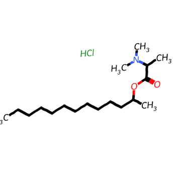 CCCCCCCCCCCC(C)OC(=O)C(C)N(C)C.Cl